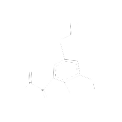 CCOc1cc(OC)c(F)c(C(=O)C(=O)O)c1